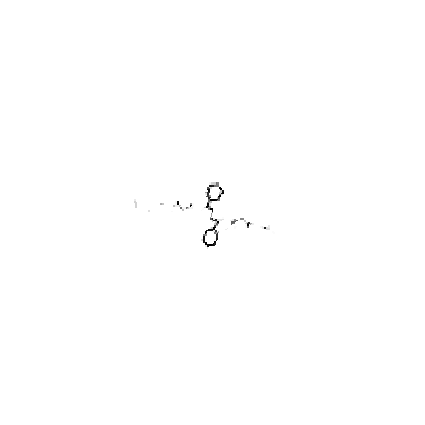 CCOC(=O)CC(=O)Oc1c(-c2sc3ccccc3c2OC(=O)CC(=O)OCC)sc2ccccc12